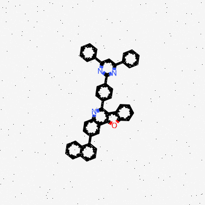 c1ccc(-c2cc(-c3ccccc3)nc(-c3ccc(-c4nc5ccc(-c6cccc7ccccc67)cc5c5oc6ccccc6c45)cc3)n2)cc1